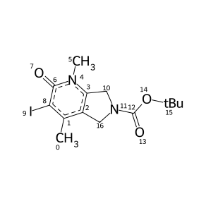 Cc1c2c(n(C)c(=O)c1I)CN(C(=O)OC(C)(C)C)C2